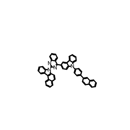 c1ccc2cc(-c3ccc(-n4c5ccccc5c5cc(-c6nc(-n7c8ccccc8c8c9ccccc9ccc87)nc7ccccc67)ccc54)cc3)ccc2c1